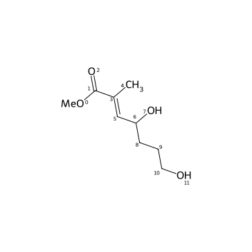 COC(=O)C(C)=CC(O)CCCO